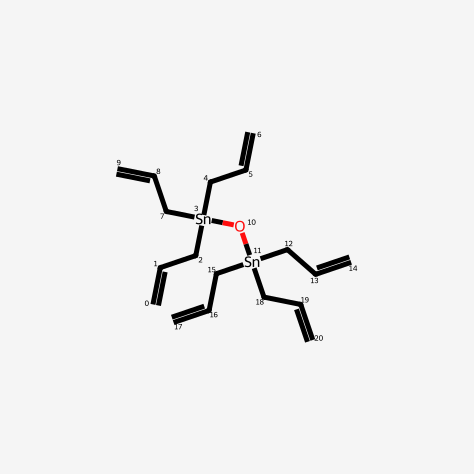 C=C[CH2][Sn]([CH2]C=C)([CH2]C=C)[O][Sn]([CH2]C=C)([CH2]C=C)[CH2]C=C